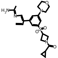 C=C/C(=C\N=C(/C)N)c1cc(N2CCOCC2)cc(S(=O)(=O)C2CN(C(=O)C3CC3)C2)c1